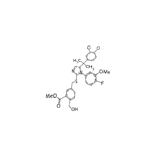 COC(=O)c1cc(CSc2ncc(C(C)(C)c3ccc(Cl)c(Cl)c3)n2-c2ccc(F)c(OC)c2)ccc1CO